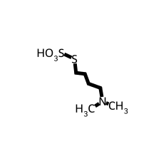 CN(C)CCCCSS(=O)(=O)O